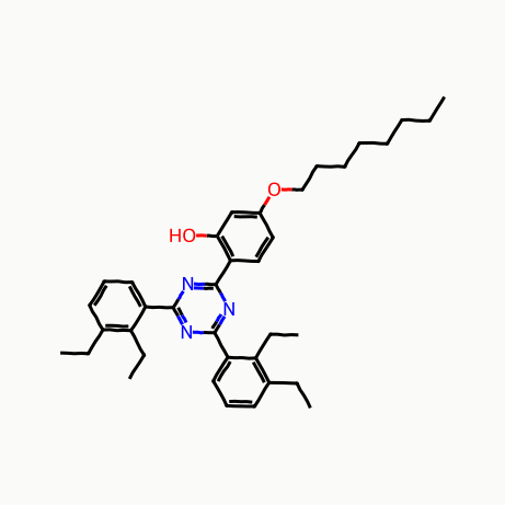 CCCCCCCCOc1ccc(-c2nc(-c3cccc(CC)c3CC)nc(-c3cccc(CC)c3CC)n2)c(O)c1